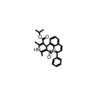 CC1=C(C(=O)OC(C)C)C(c2cccc3ccc(-c4ccccc4)nc23)C([N+](=O)[O-])=C(C)N1